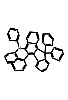 c1ccc(-c2c3c(c4ccccc4c2N(c2ccccc2)c2ccccc2)C(c2ccccc2)(c2ccccc2)c2ccccc2-3)cc1